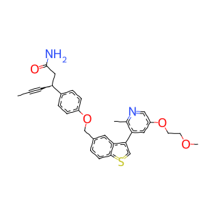 CC#C[C@@H](CC(N)=O)c1ccc(OCc2ccc3scc(-c4cc(OCCOC)cnc4C)c3c2)cc1